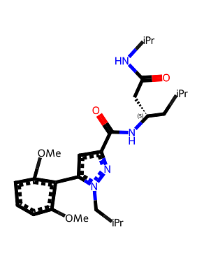 COc1cccc(OC)c1-c1cc(C(=O)N[C@H](CC(=O)NC(C)C)CC(C)C)nn1CC(C)C